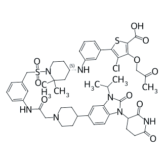 CC(=O)COc1c(C(=O)O)sc(-c2cccc(N[C@H]3CCN(S(=O)(=O)Cc4cccc(NC(=O)CN5CCC(c6ccc7c(c6)n(C(C)C)c(=O)n7C6CCC(=O)NC6=O)CC5)c4)C(C)(C)C3)c2)c1Cl